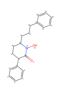 O=C1C(c2ccccc2)CCC(CCCc2ccccc2)N1O